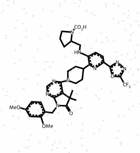 COc1ccc(CN2C(=O)C(C)(C)c3c(N4CCC(c5nc(-c6nnc(C(F)(F)F)o6)ccc5NCC5CCCN5C(=O)O)CC4)ncnc32)c(OC)c1